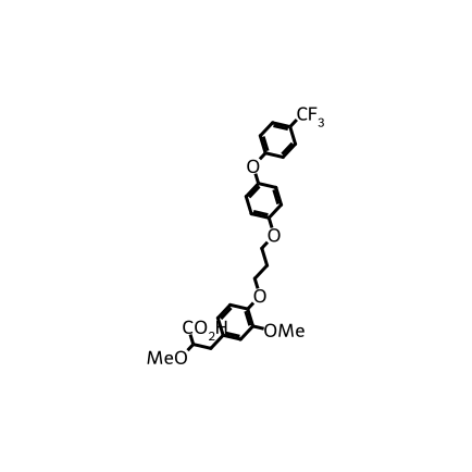 COc1cc(CC(OC)C(=O)O)ccc1OCCCOc1ccc(Oc2ccc(C(F)(F)F)cc2)cc1